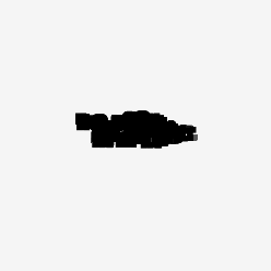 CCO[Si](CC[Si](C)(C)OC(O[Si](C)(C)CC[Si](OCC)(OCC)OCC)[SiH2]O[SiH](C)C)(OCC)OCC